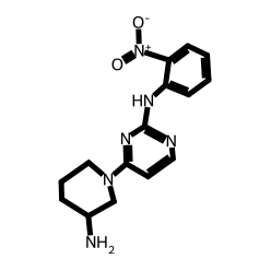 NC1CCCN(c2ccnc(Nc3ccccc3[N+](=O)[O-])n2)C1